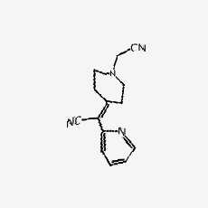 N#CCN1CCC(=C(C#N)c2ccccn2)CC1